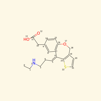 CCNCCC=C1c2cc(CC(=O)O)ccc2OCc2ccsc21